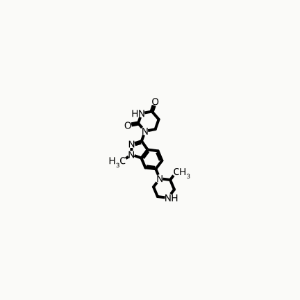 CC1CNCCN1c1ccc2c(N3CCC(=O)NC3=O)nn(C)c2c1